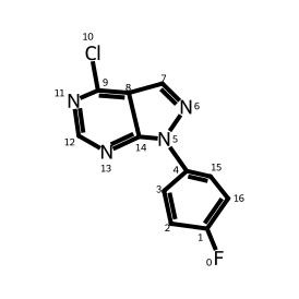 Fc1ccc(-n2ncc3c(Cl)ncnc32)cc1